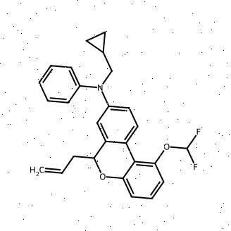 C=CCC1Oc2cccc(OC(F)F)c2-c2ccc(N(CC3CC3)c3ccccc3)cc21